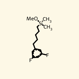 CO[Si](C)(C)CCCCCc1cc(F)cc(F)c1